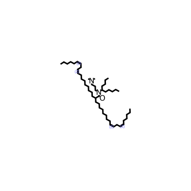 CCCCC/C=C\C/C=C\CCCCCCCCC(CCCCCCCC/C=C\C/C=C\CCCCC)C(=O)N(CCCN(C)C)C(CCCC)CCCCC